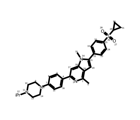 Cc1nc(-c2ccc(N3CCN(C(C)C)CC3)cc2)cc2c1cc(-c1ccc(S(=O)(=O)C3CC3)cc1)n2C